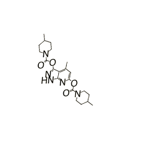 Cc1cc(OC(=O)N2CCC(C)CC2)nc2[nH]nc(OC(=O)N3CCC(C)CC3)c12